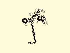 CCCCCCCCCCCCCCCCCCCCOP(=O)(OC[C@@](C)(CC)[C@H]1OC(C)(C)O[C@H]1c1ccc2c(N)ncnn12)Oc1ccccc1Cl